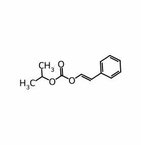 CC(C)OC(=O)OC=Cc1ccccc1